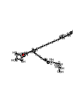 O=C(O)CC[C@H](NC(=O)NC(CCCCNC(=O)Nc1cccc(-c2cn(CCOCCOCCOCCC(=O)NC(CCCCNC(=S)Nc3ccc(CC4CN(CC(=O)O)CCN(CC(=O)O)CCN(CC(=O)O)CCN4CC(=O)O)cc3)C(=O)NCCOCCOCCOCCOCCOCCOCCOCCOCCC(=O)NC(CCCCNC(=O)Cc3ccc(I)cc3)C(=O)O)nn2)c1)C(=O)O)C(=O)O